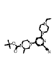 CCN1CCN(c2cc(N3CCN(C(=O)OC(C)(C)C)C(C)C3)cc(C#N)n2)CC1